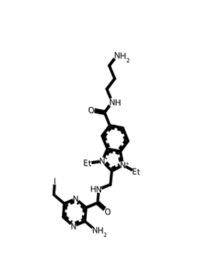 CCn1c(CNC(=O)c2nc(CI)cnc2N)[n+](CC)c2ccc(C(=O)NCCCN)cc21